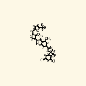 Cc1cc(C2=NCC3(C2)c2cc(Cl)cc(Cl)c2C3(F)F)ccc1C(=O)N[C@@H]1CON(Cc2ccc(C(F)(F)F)o2)C1=O